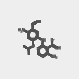 CC(C)Oc1cc(N)c(C=N)cc1Nc1ncnc(N)c1C(=N)Br